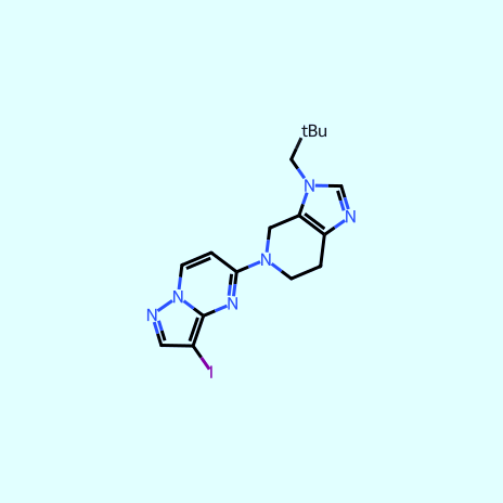 CC(C)(C)Cn1cnc2c1CN(c1ccn3ncc(I)c3n1)CC2